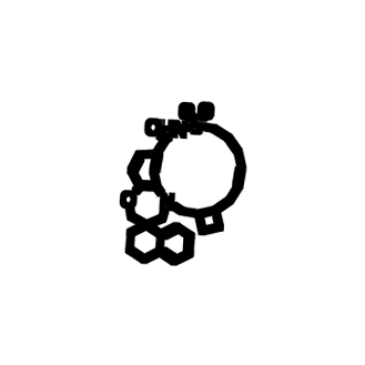 O=C1NS(=O)(=O)CCCC=CCC2CCC2CN2CC3(CCCc4ccccc43)COc3ccc1cc32